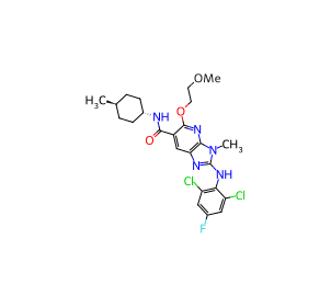 COCCOc1nc2c(cc1C(=O)N[C@H]1CC[C@H](C)CC1)nc(Nc1c(Cl)cc(F)cc1Cl)n2C